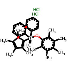 Cl.Cl.[CH2]=[Ti]([O]c1c(C)c(C)c(C)c(C(C)(C)C)c1[SiH3])([C]1=C(C)C(C)=C(C)C1C)([c]1ccccc1)[c]1ccccc1